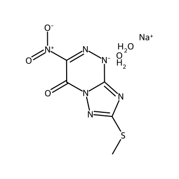 CSc1nc2[n-]nc([N+](=O)[O-])c(=O)n2n1.O.O.[Na+]